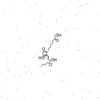 CCCCC1(C(O)/C=C/[C@H]2[C@H](O)CC(=O)[C@@H]2CCCCCCC(=O)CO)CCC1